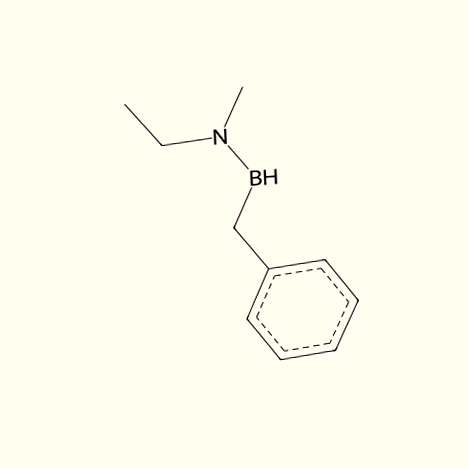 CCN(C)BCc1ccccc1